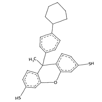 CC1(c2ccc(C3CCCCC3)cc2)c2ccc(S)cc2Oc2cc(S)ccc21